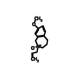 C=CC[N+]1([O-])CCCc2ccc(OC)cc2C1